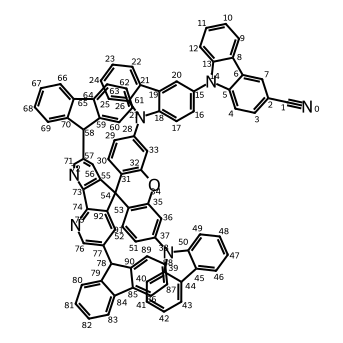 N#Cc1ccc2c(c1)c1ccccc1n2-c1ccc2c(c1)c1ccccc1n2-c1ccc2c(c1)Oc1cc(-n3c4ccccc4c4ccccc43)ccc1C21c2cc(C3c4ccccc4-c4ccccc43)cnc2-c2ncc(C3c4ccccc4-c4ccccc43)cc21